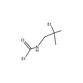 [CH2]CC(=O)NCC(C)(C)CC